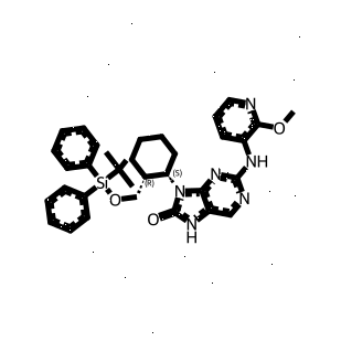 COc1ncccc1Nc1ncc2[nH]c(=O)n([C@H]3CCCC[C@H]3CO[Si](c3ccccc3)(c3ccccc3)C(C)(C)C)c2n1